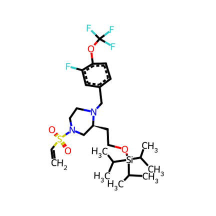 C=CS(=O)(=O)N1CCN(Cc2ccc(OC(F)(F)F)c(F)c2)[C@@H](CCO[Si](C(C)C)(C(C)C)C(C)C)C1